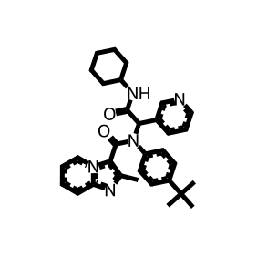 Cc1nc2ccccn2c1C(=O)N(c1ccc(C(C)(C)C)cc1)C(C(=O)NC1CCCCC1)c1cccnc1